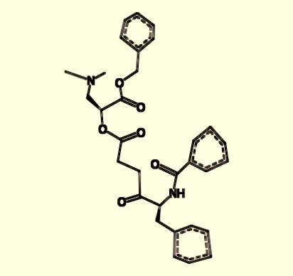 CN(C)C[C@H](OC(=O)CCC(=O)[C@H](Cc1ccccc1)NC(=O)c1ccccc1)C(=O)OCc1ccccc1